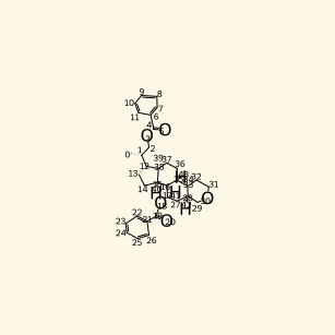 C[C@H](COC(=O)c1ccccc1)[C@H]1CC[C@H]2[C@@H]3[C@H](OC(=O)c4ccccc4)C[C@H]4COCC[C@]4(C)[C@H]3CC[C@]12C